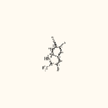 Cc1cc2cc(F)c(C(F)(F)F)[nH]c-2nc1=S